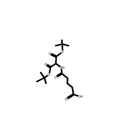 CC(C)(C)OC(=O)C(NC(=O)CCCC(=O)O)C(=O)OC(C)(C)C